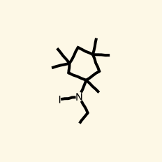 CCN(I)C1(C)CC(C)(C)CC(C)(C)C1